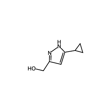 OCc1cc(C2CC2)[nH]n1